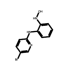 ONc1ccccc1Nc1ccc(Br)cn1